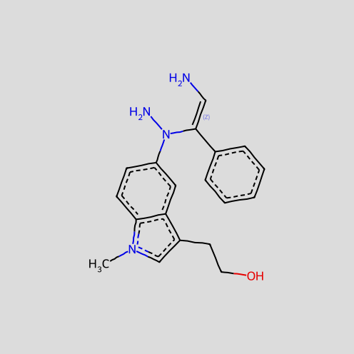 Cn1cc(CCO)c2cc(N(N)/C(=C\N)c3ccccc3)ccc21